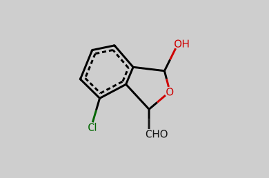 O=CC1OC(O)c2cccc(Cl)c21